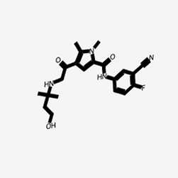 Cc1c(C(=O)CNC(C)(C)CCO)cc(C(=O)Nc2ccc(F)c(C#N)c2)n1C